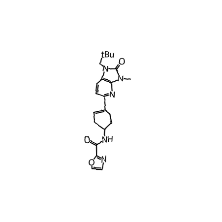 Cn1c(=O)n(CC(C)(C)C)c2ccc(C3=CCC(NC(=O)c4ncco4)CC3)nc21